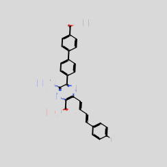 Cc1ccc(/C=C/C=C/c2nc(-c3ccc(-c4ccc(C(=O)O)cc4)cc3)c(N)nc2C(=O)O)cc1